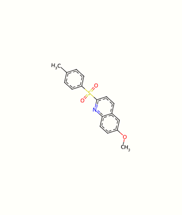 COc1ccc2nc(S(=O)(=O)c3ccc(C)cc3)ccc2c1